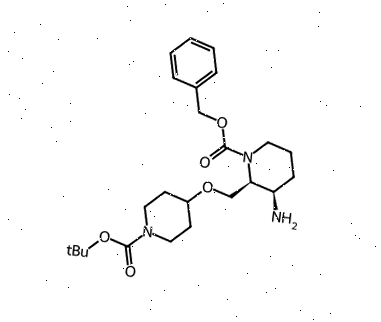 CC(C)(C)OC(=O)N1CCC(OC[C@@H]2[C@H](N)CCCN2C(=O)OCc2ccccc2)CC1